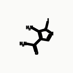 NC(=O)c1cnn(I)c1N